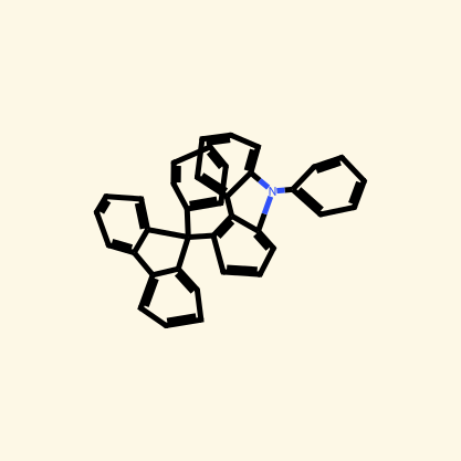 c1ccc(-n2c3ccccc3c3c(C4(c5ccccc5)c5ccccc5-c5ccccc54)cccc32)cc1